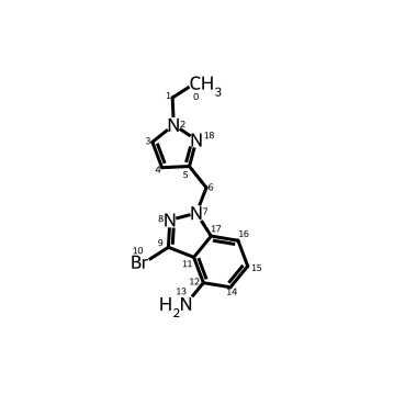 CCn1ccc(Cn2nc(Br)c3c(N)cccc32)n1